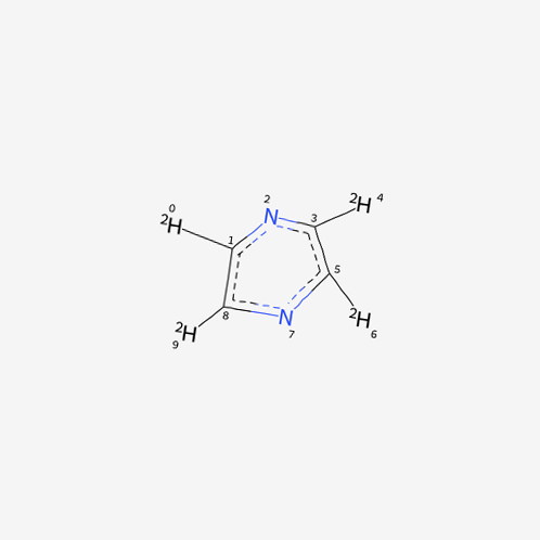 [2H]c1nc([2H])c([2H])nc1[2H]